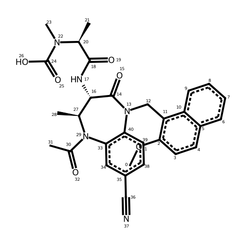 COc1ccc2ccccc2c1CN1C(=O)[C@@H](NC(=O)[C@H](C)N(C)C(=O)O)[C@H](C)N(C(C)=O)c2cc(C#N)ccc21